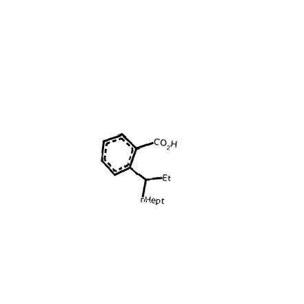 CCCCCCCC(CC)c1ccccc1C(=O)O